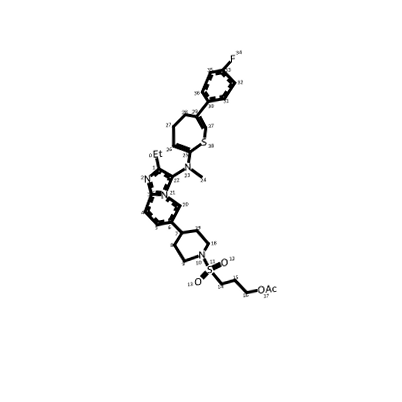 CCc1nc2ccc(C3CCN(S(=O)(=O)CCCOC(C)=O)CC3)cn2c1N(C)C1=CCCC(c2ccc(F)cc2)=CS1